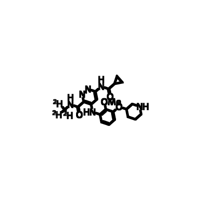 [2H]C([2H])([2H])NC(=O)c1nnc(NC(=O)C2CC2)cc1Nc1cccc(OC2CCCNC2)c1OC